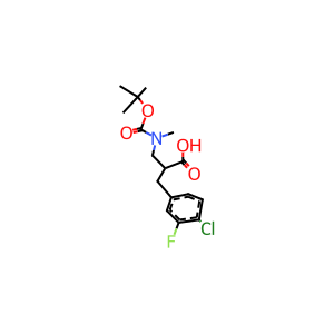 CN(CC(Cc1ccc(Cl)c(F)c1)C(=O)O)C(=O)OC(C)(C)C